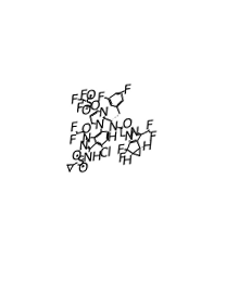 O=C(Cn1nc(C(F)F)c2c1C(F)(F)[C@@H]1C[C@H]21)N[C@@H](Cc1cc(F)cc(F)c1)c1nc(OS(=O)(=O)C(F)(F)F)cc(=O)n1-c1ccc(Cl)c2c(NS(=O)(=O)C3CC3)nn(CC(F)F)c12